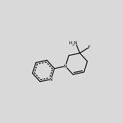 NC1(F)CC=CN(c2ccccn2)C1